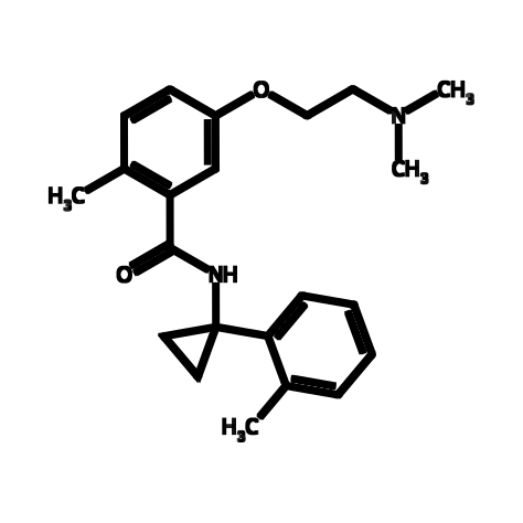 Cc1ccc(OCCN(C)C)cc1C(=O)NC1(c2ccccc2C)CC1